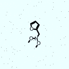 CON(Cc1ccco1)OC